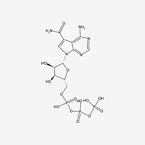 NC(=O)c1cn([C@@H]2O[C@H](COP(=O)(O)OP(=O)(O)OP(=O)(O)O)[C@@H](O)[C@H]2O)c2ncnc(N)c12